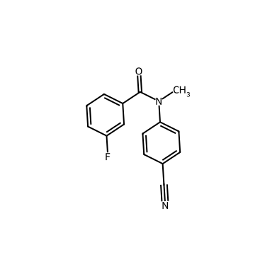 CN(C(=O)c1cccc(F)c1)c1ccc(C#N)cc1